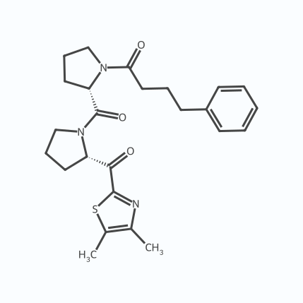 Cc1nc(C(=O)[C@@H]2CCCN2C(=O)[C@@H]2CCCN2C(=O)CCCc2ccccc2)sc1C